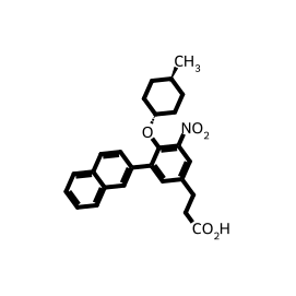 C[C@H]1CC[C@H](Oc2c(-c3ccc4ccccc4c3)cc(CCC(=O)O)cc2[N+](=O)[O-])CC1